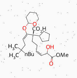 CCCCC(C)(C)C/C=C(/OC1CCCCO1)[C@](CC/C=C\C(O)C(=O)OC)(C(=O)O)C1CCCC1